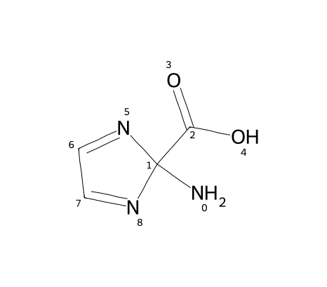 NC1(C(=O)O)N=CC=N1